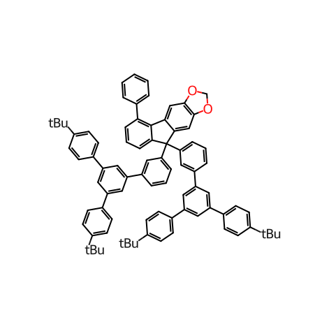 CC(C)(C)c1ccc(-c2cc(-c3ccc(C(C)(C)C)cc3)cc(-c3cccc(C4(c5cccc(-c6cc(-c7ccc(C(C)(C)C)cc7)cc(-c7ccc(C(C)(C)C)cc7)c6)c5)c5cc6c(cc5-c5c(-c7ccccc7)cccc54)OCO6)c3)c2)cc1